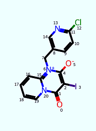 O=c1c(I)c([O-])[n+](Cc2ccc(Cl)nc2)c2ccccn12